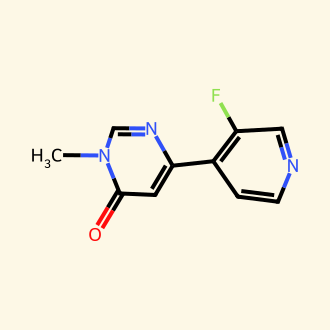 Cn1cnc(-c2ccncc2F)cc1=O